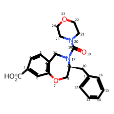 O=C(O)c1ccc2c(c1)OC[C@H](Cc1ccccc1)N(C(=O)N1CCOCC1)C2